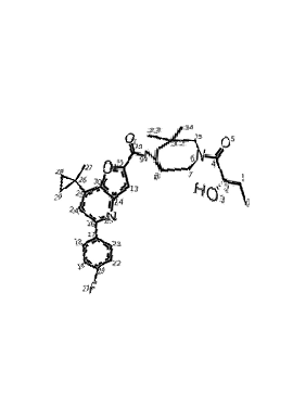 CC[C@H](O)C(=O)N1CCN(C(=O)c2cc3nc(-c4ccc(F)cc4)cc(C4(C)CC4)c3o2)C(C)(C)C1